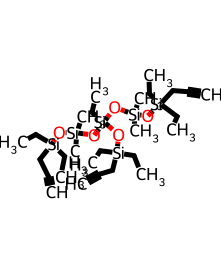 C#CC[Si](CC)(CC)O[Si](C)(C)O[Si](CC)(O[Si](CC)(CC)CC#C)O[Si](C)(C)O[Si](CC)(CC)CC#C